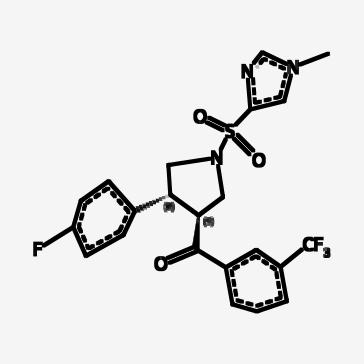 Cn1cnc(S(=O)(=O)N2C[C@@H](C(=O)c3cccc(C(F)(F)F)c3)[C@H](c3ccc(F)cc3)C2)c1